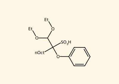 CCCCCCCCC(Oc1ccccc1)(C(OCC)OCC)S(=O)(=O)O